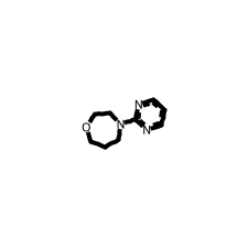 c1cnc(N2CCCOCC2)nc1